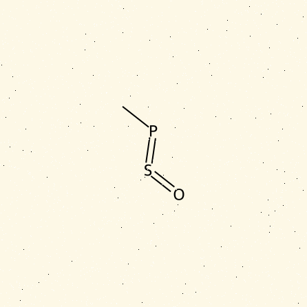 CP=S=O